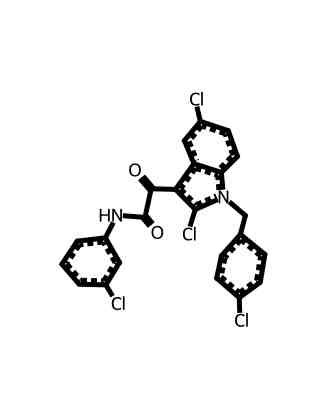 O=C(Nc1cccc(Cl)c1)C(=O)c1c(Cl)n(Cc2ccc(Cl)cc2)c2ccc(Cl)cc12